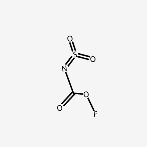 O=C(N=S(=O)=O)OF